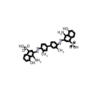 Cc1cc(-c2ccc(/N=N/c3cc(S(=O)(=O)O)c4cccc(O)c4c3N)c(C)c2)ccc1/N=N/c1cc(S(=O)(=O)O)c2cccc(O)c2c1N